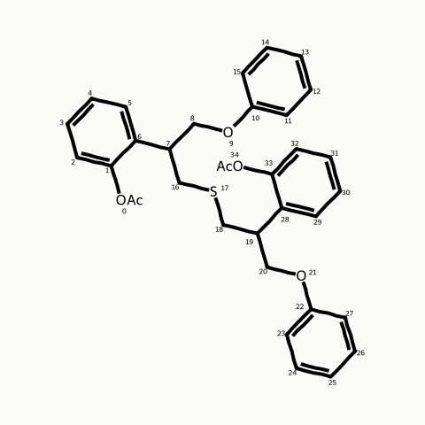 CC(=O)Oc1ccccc1C(COc1ccccc1)CSCC(COc1ccccc1)c1ccccc1OC(C)=O